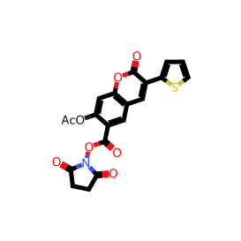 CC(=O)Oc1cc2oc(=O)c(-c3cccs3)cc2cc1C(=O)ON1C(=O)CCC1=O